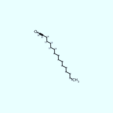 CCCCCCCCCCCCCCCC#C[O]